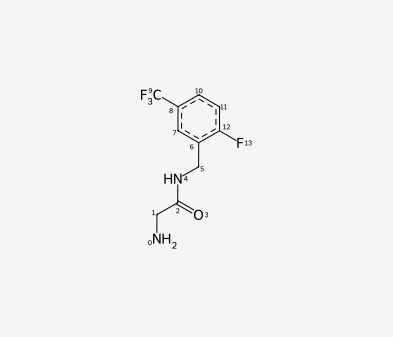 NCC(=O)NCc1cc(C(F)(F)F)ccc1F